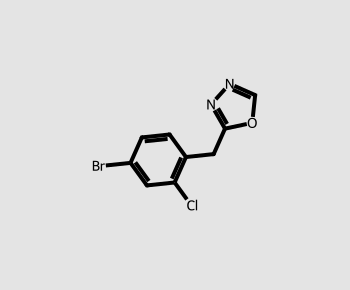 Clc1cc(Br)ccc1Cc1nnco1